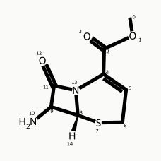 COC(=O)C1=CCS[C@@H]2C(N)C(=O)N12